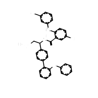 O=C(O)CC(NC(=O)c1cc(Cl)ccc1Nc1cccc(Cl)c1)c1ccc(-c2ccccc2Oc2ccccc2)cc1